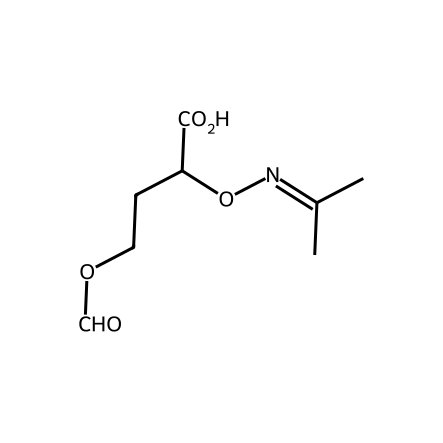 CC(C)=NOC(CCOC=O)C(=O)O